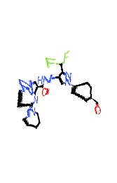 O=C[C@H]1CC[C@H](n2cc(NC(=O)c3cnn4ccc(N5CCCCC5)nc34)c(C(F)F)n2)CC1